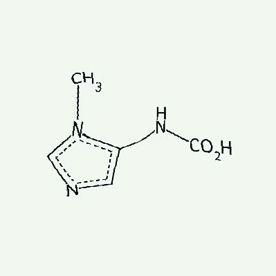 Cn1cncc1NC(=O)O